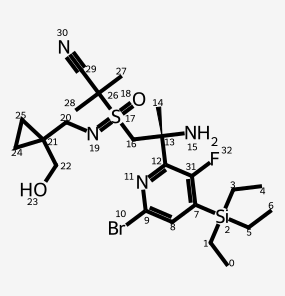 CC[Si](CC)(CC)c1cc(Br)nc([C@@](C)(N)CS(=O)(=NCC2(CO)CC2)C(C)(C)C#N)c1F